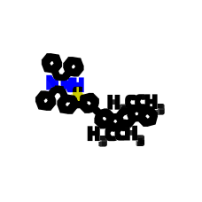 CC1(C)C2=C(C=C3C(C2)c2cc(-c4ccc5sc6c(C7=C(c8ccccc8)N=C(c8ccccc8)C(c8ccccc8)N7)cccc6c5c4)ccc2C3(C)C)c2ccccc21